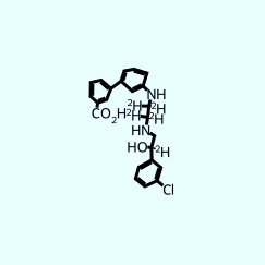 [2H]C([2H])(NC[C@]([2H])(O)c1cccc(Cl)c1)C([2H])([2H])Nc1cccc(-c2cccc(C(=O)O)c2)c1